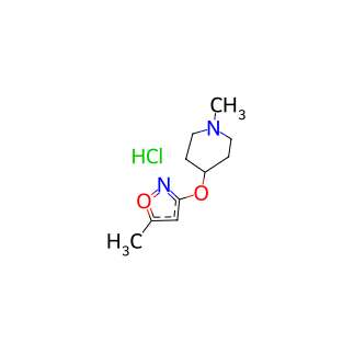 Cc1cc(OC2CCN(C)CC2)no1.Cl